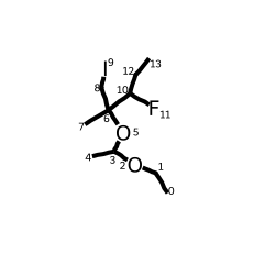 CCOC(C)OC(C)(CI)C(F)CC